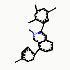 Cc1ccc(-c2cccc3cc(-c4cc(C)cc(C)c4C)[n+](C)cc23)cc1